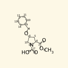 COC(=O)C1CC(OCc2ccccc2)CN1C(=O)O